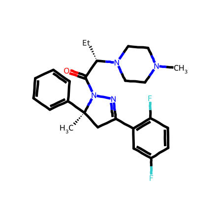 CC[C@@H](C(=O)N1N=C(c2cc(F)ccc2F)C[C@@]1(C)c1ccccc1)N1CCN(C)CC1